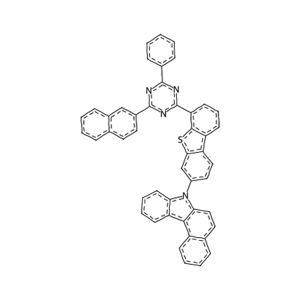 c1ccc(-c2nc(-c3ccc4ccccc4c3)nc(-c3cccc4c3sc3cc(-n5c6ccccc6c6c7ccccc7ccc65)ccc34)n2)cc1